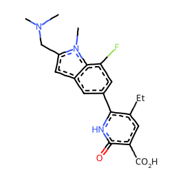 CCc1cc(C(=O)O)c(=O)[nH]c1-c1cc(F)c2c(c1)cc(CN(C)C)n2C